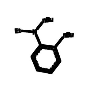 CCCCc1ccccc1N(CC)CCCC